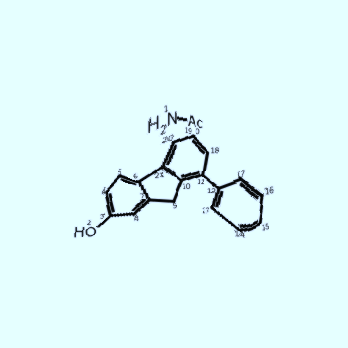 CC(N)=O.Oc1ccc2c(c1)Cc1c(-c3ccccc3)cccc1-2